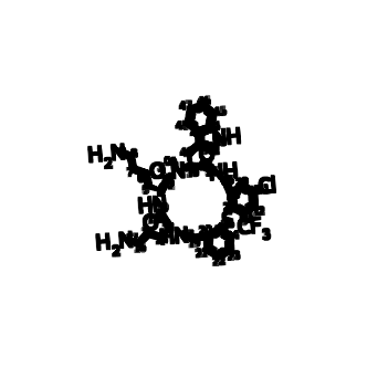 CN1C(=O)[C@H](CCCCN)NC(=O)[C@H](CCCN)NCc2ccccc2Sc2c(cc(Cl)cc2C(F)(F)F)CNC(=O)[C@@H]1Cc1c[nH]c2ccccc12